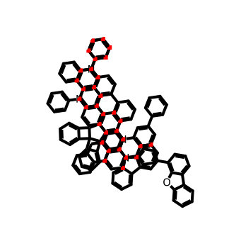 c1ccc(-c2ccc(N(c3ccccc3)c3ccc(-c4ccc(-n5c6ccccc6c6cc(-c7cccc8c7oc7ccccc78)ccc65)c5c4C4c6ccccc6C5c5ccc(-c6cccc(-c7ccc(N(c8ccccc8)c8ccccc8-c8ccc(-c9ccc(N(c%10cccc(-c%11ccccc%11)c%10)c%10ccccc%10-c%10ccccc%10)c%10c9C9c%11ccccc%11C9%11c9ccccc9C%10%11)cc8)cc7)c6)cc54)cc3)cc2)cc1